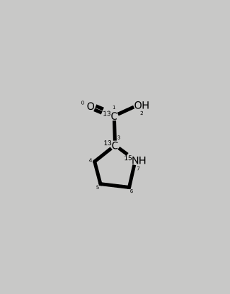 O=[13C](O)[13CH]1CCC[15NH]1